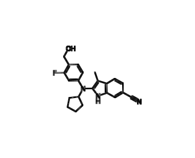 Cc1c(N(c2ccc(CO)c(F)c2)C2CCCC2)[nH]c2cc(C#N)ccc12